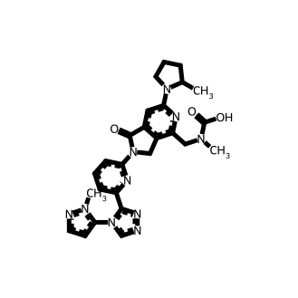 CC1CCCN1c1cc2c(c(CN(C)C(=O)O)n1)CN(c1cccc(-c3nncn3-c3ccnn3C)n1)C2=O